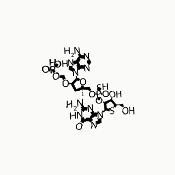 C[C@]1(COP(O)(=S)O[C@@H]2[C@H](O)[C@@H](CO)S[C@H]2n2cnc3c(=O)[nH]c(N)nc32)C[C@@H](OCO[PH](=O)O)[C@H](n2cnc3c(N)ncnc32)O1